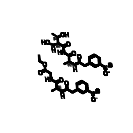 CCOC(=O)CNC(=O)[C@H](C)NC(=O)Cc1cccc([N+](=O)[O-])c1.C[C@H](NC(=O)Cc1cccc([N+](=O)[O-])c1)C(=O)NC(=O)[C@@H](NO)[C@@H](C)O